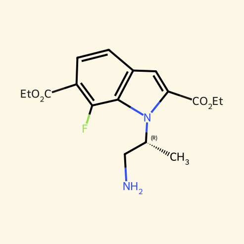 CCOC(=O)c1ccc2cc(C(=O)OCC)n([C@H](C)CN)c2c1F